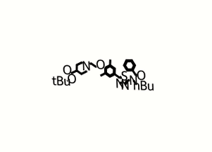 CCCCN(C(=O)c1ccccc1)c1nnc(-c2cc(C)c(OCCN3CCC(C(=O)OC(C)(C)C)CC3)c(C)c2)s1